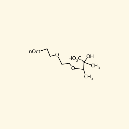 CCCCCCCCCCOCCOC(C)C(C)(O)C(=O)O